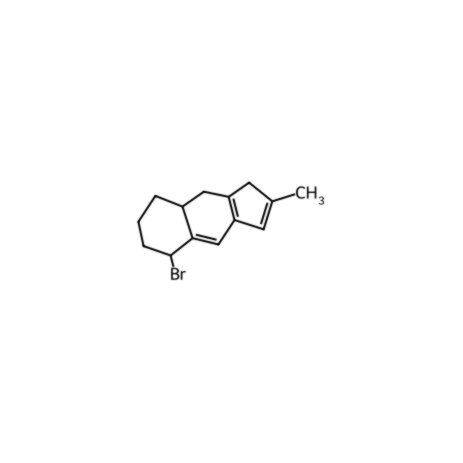 CC1=CC2=C(C1)CC1CCCC(Br)C1=C2